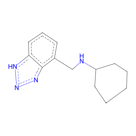 c1cc(CNC2CCCCC2)c2nn[nH]c2c1